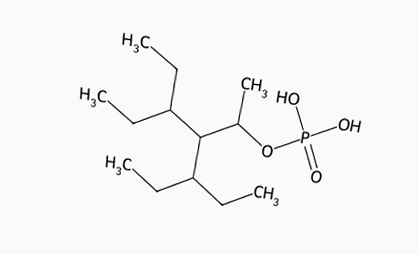 CCC(CC)C(C(CC)CC)C(C)OP(=O)(O)O